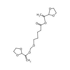 C=C(OCOCCCCC(=O)OC(=C)C1OCCO1)C1OCCO1